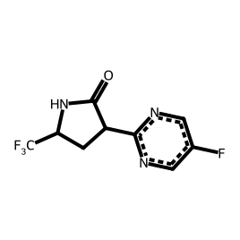 O=C1NC(C(F)(F)F)CC1c1ncc(F)cn1